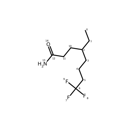 CCC(CCCC(F)(F)F)CCC(N)=O